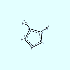 Oc1[nH]ccc1Br